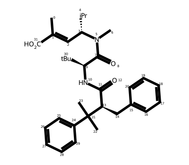 C/C(=C\[C@H](C(C)C)N(C)C(=O)[C@@H](NC(=O)[C@@H](Cc1ccccc1)C(C)(C)c1ccccc1)C(C)(C)C)C(=O)O